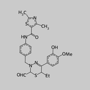 CCC1SC(C=O)N(Cc2ccc(NC(=O)c3sc(C)nc3C)cc2)N=C1c1ccc(OC)c(O)c1